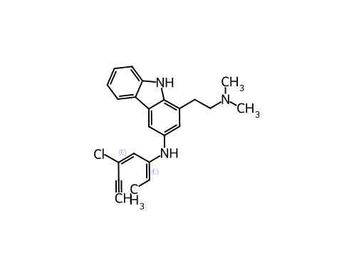 C#C/C(Cl)=C\C(=C/C)Nc1cc(CCN(C)C)c2[nH]c3ccccc3c2c1